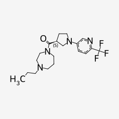 CCCN1CCCN(C(=O)[C@H]2CCN(c3ccc(C(F)(F)F)nc3)C2)CC1